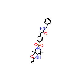 C=CC(=O)NC1C(C)(C)CN(S(=O)(=O)c2ccc(CC(=O)NCc3ccccc3)cc2)CC1(C)C